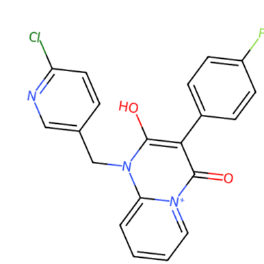 O=c1c(-c2ccc(F)cc2)c(O)n(Cc2ccc(Cl)nc2)c2cccc[n+]12